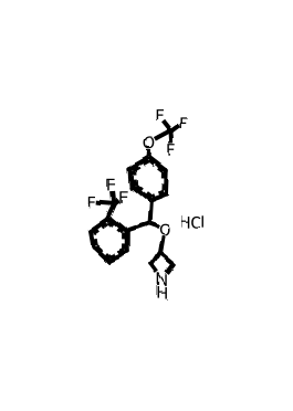 Cl.FC(F)(F)Oc1ccc(C(OC2CNC2)c2ccccc2C(F)(F)F)cc1